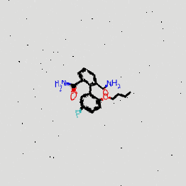 CCCCOc1ccc(F)cc1-c1c(C(N)=O)cccc1C(N)=O